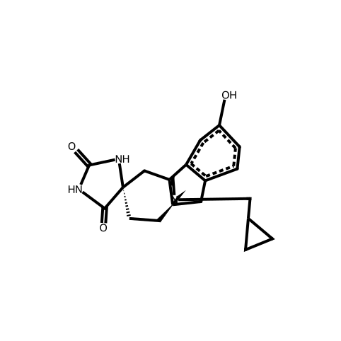 O=C1NC(=O)[C@@]2(CC[C@@]34Cc5ccc(O)cc5[C@]3(CCN(CC3CC3)C4)C2)N1